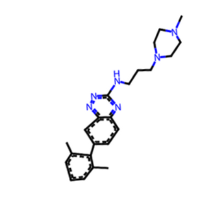 Cc1cccc(C)c1-c1ccc2nc(NCCCN3CCN(C)CC3)nnc2c1